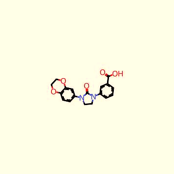 O=C(O)c1cccc(N2CCN(c3ccc4c(c3)OCCO4)C2=O)c1